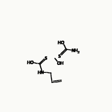 C=CCNC(O)=S.CO.NC(O)=S